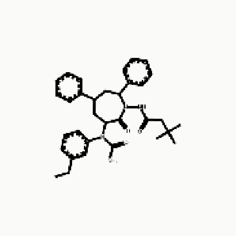 CCc1cccc(N(C(N)=O)C2CC(c3ccccc3)CC(c3ccccc3)N(NC(=O)CC(C)(C)C)C2=O)c1